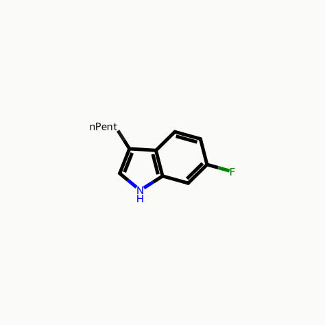 CCCCCc1c[nH]c2cc(F)ccc12